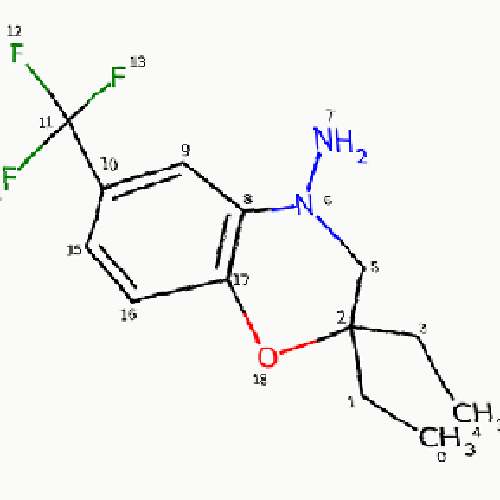 CCC1(CC)CN(N)c2cc(C(F)(F)F)ccc2O1